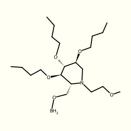 BOC[C@@H]1[C@@H](OCCCC)[C@H](OCCCC)[C@@H](OCCCC)CN1CCOC